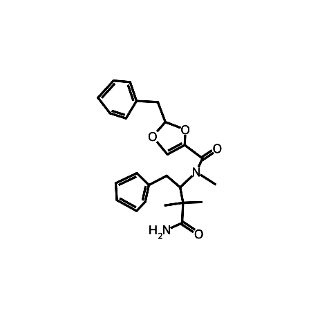 CN(C(=O)C1=COC(Cc2ccccc2)O1)C(Cc1ccccc1)C(C)(C)C(N)=O